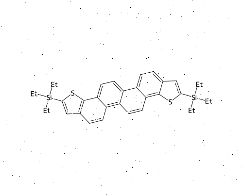 CC[Si](CC)(CC)c1cc2ccc3c4ccc5c(ccc6cc([Si](CC)(CC)CC)sc65)c4ccc3c2s1